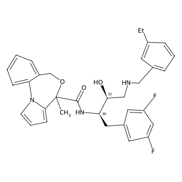 CCc1cccc(CNC[C@H](O)[C@@H](Cc2cc(F)cc(F)c2)NC(=O)C2(C)OCc3ccccc3-n3cccc32)c1